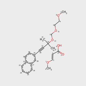 COC=CC(=O)O.COCCOCOC(C)(C)C#Cc1ccc2ccccc2c1